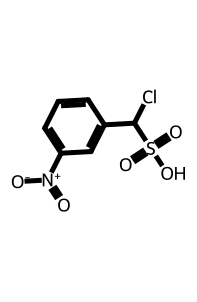 O=[N+]([O-])c1cccc(C(Cl)S(=O)(=O)O)c1